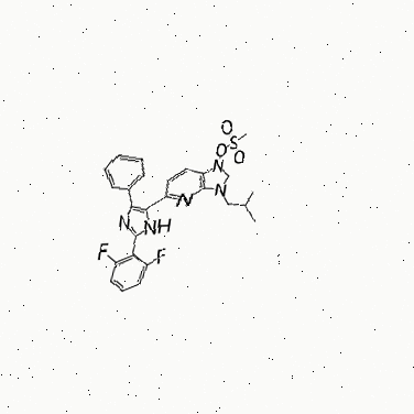 CC(C)CN1CN(OS(C)(=O)=O)c2ccc(-c3[nH]c(-c4c(F)cccc4F)nc3-c3ccccc3)nc21